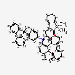 CC1(C)c2ccccc2-c2cc(N(c3ccc(C(C)(c4ccccc4)c4ccccc4)cc3)c3ccc4ccccc4c3-c3ccccc3-c3ccccc3)ccc21